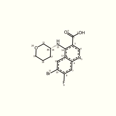 O=C(O)c1cnc2cc(F)c(Br)cc2c1N[C@@H]1CCCOC1